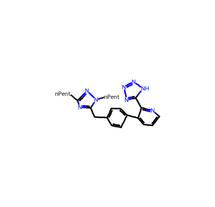 CCCCCc1nc(Cc2ccc(-c3cccnc3-c3nnn[nH]3)cc2)n(CCCCC)n1